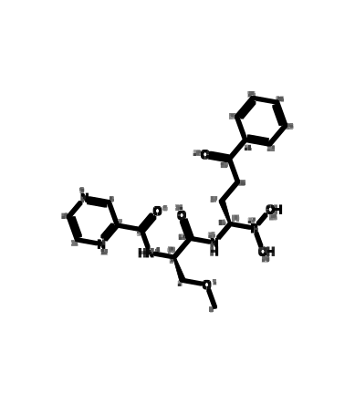 COC[C@@H](NC(=O)c1cnccn1)C(=O)N[C@@H](CCC(=O)c1ccccc1)B(O)O